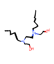 CCCCCN(CCO)CCN(CCO)CCCCC